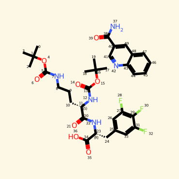 CC(C)(C)OC(=O)NCCC[C@H](NC(=O)OC(C)(C)C)C(=O)N[C@H](Cc1cc(F)c(F)c(F)c1)C(=O)O.NC(=O)c1cnc2ccccc2c1